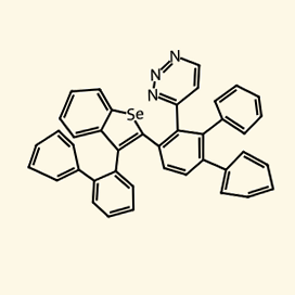 c1ccc(-c2ccccc2-c2c(-c3ccc(-c4ccccc4)c(-c4ccccc4)c3-c3ccnnn3)[se]c3ccccc23)cc1